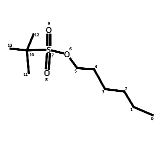 CCCCCCOS(=O)(=O)C(C)(C)C